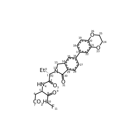 CC[C@@H](C(=O)NC(CC(=O)O)C(=O)CF)N1Cc2cc(-c3ccc4c(c3)OCCO4)ccc2C1=O